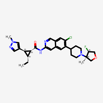 CC[C@H]1[C@@H](C(=O)Nc2cc3cc(C4CCN([C@]5(C)COC[C@@H]5F)CC4)c(Cl)cc3cn2)[C@@H]1c1cnn(C)c1